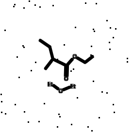 CCOC(=O)C(C)CC.CCOCC